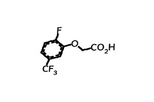 O=C(O)COc1cc(C(F)(F)F)ccc1F